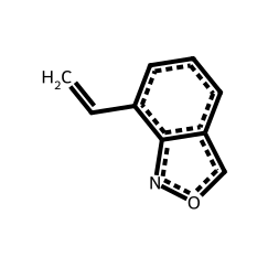 C=Cc1cccc2conc12